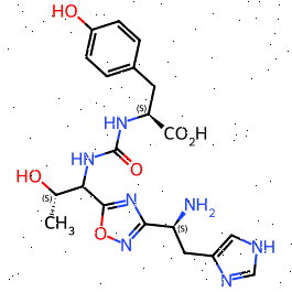 C[C@H](O)C(NC(=O)N[C@@H](Cc1ccc(O)cc1)C(=O)O)c1nc([C@@H](N)Cc2c[nH]cn2)no1